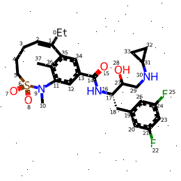 CC/C1=C/CCCS(=O)(=O)N(C)c2cc(C(=O)N[C@@H](Cc3cc(F)cc(F)c3)C(O)CNC3CC3)cc1c2C